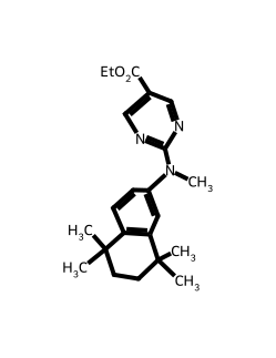 CCOC(=O)c1cnc(N(C)c2ccc3c(c2)C(C)(C)CCC3(C)C)nc1